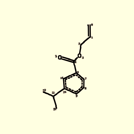 C=CCOC(=O)c1cccc(C(C)C)c1